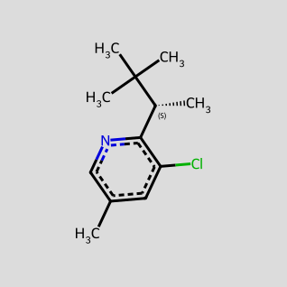 Cc1cnc([C@@H](C)C(C)(C)C)c(Cl)c1